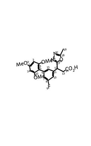 COc1cc(OC)c(-c2cc(F)cc(C(CC(=O)O)c3nnc(C)o3)c2)c(OC)c1